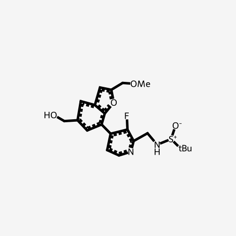 COCc1cc2cc(CO)cc(-c3ccnc(CN[S+]([O-])C(C)(C)C)c3F)c2o1